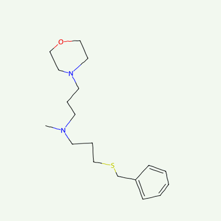 CN(CCCSCc1ccccc1)CCCN1CCOCC1